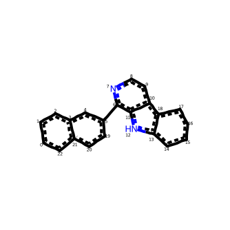 c1ccc2cc(-c3nccc4c3[nH]c3ccccc34)ccc2c1